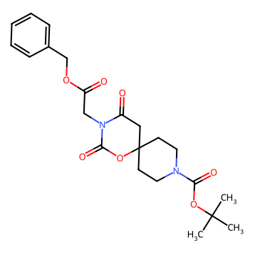 CC(C)(C)OC(=O)N1CCC2(CC1)CC(=O)N(CC(=O)OCc1ccccc1)C(=O)O2